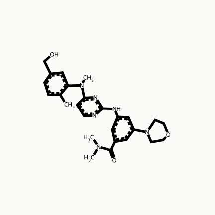 Cc1ccc(CO)cc1N(C)c1ccnc(Nc2cc(C(=O)N(C)C)cc(N3CCOCC3)c2)n1